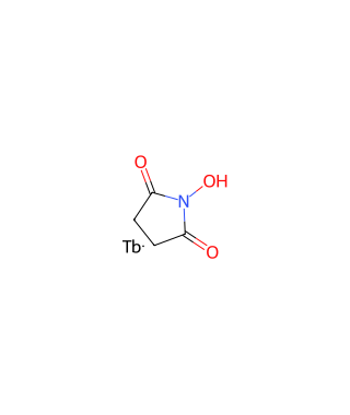 O=C1CCC(=O)N1O.[Tb]